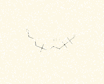 CCC(F)(F)C(C)(C)CCOC(C)(C)CSCN